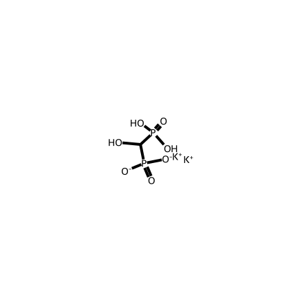 O=P([O-])([O-])C(O)P(=O)(O)O.[K+].[K+]